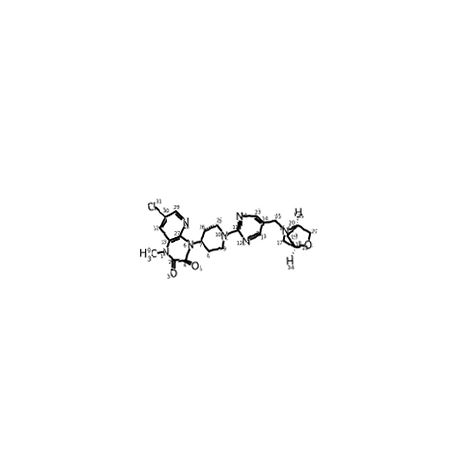 Cn1c(=O)c(=O)n(C2CCN(c3ncc(CN4C[C@H]5C[C@@H]4CO5)cn3)CC2)c2ncc(Cl)cc21